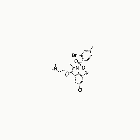 Cc1ccc(S(=O)(=O)n2c(C)c(OCCN(C)C)c3cc(Cl)cc(Br)c32)c(Br)c1